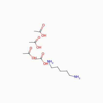 CC(=O)O.CC(=O)O.CC(=O)O.CC(=O)O.NCCCCCN